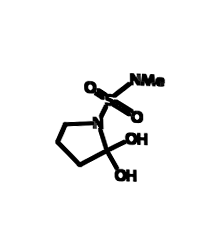 CNS(=O)(=O)N1CCCC1(O)O